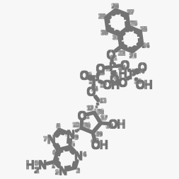 Nc1ncnc2c1ncn2[C@@H]1O[C@H](COP(=O)(O)OP(=O)(Oc2cccc3ccccc23)OP(=O)(O)O)C(O)C1O